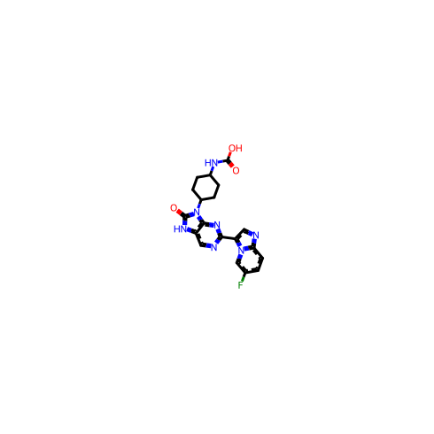 O=C(O)NC1CCC(n2c(=O)[nH]c3cnc(-c4cnc5ccc(F)cn45)nc32)CC1